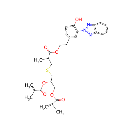 C=C(C)C(=O)OCC(CSCC(C)C(=O)OCCc1ccc(O)c(-n2nc3ccccc3n2)c1)OC(=O)C(=C)C